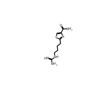 N=C(N)NCCC[CH]c1nc(C(N)=O)cs1